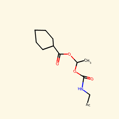 [CH2]C(=O)CNC(=O)OC(C)OC(=O)C1CCCCC1